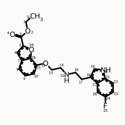 CCOC(=O)c1cc2cccc(OCCNCCc3c[nH]c4ccc(F)cc34)c2o1